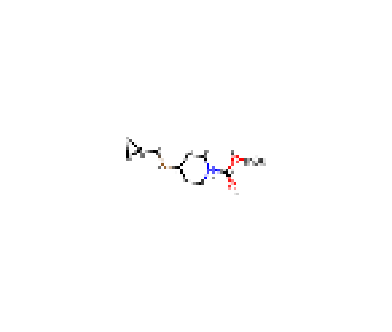 CCCCOC(=O)N1CCC(SCC2CC2)CC1